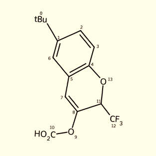 CC(C)(C)c1ccc2c(c1)C=C(OC(=O)O)C(C(F)(F)F)O2